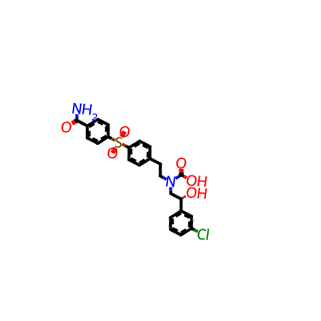 NC(=O)c1ccc(S(=O)(=O)c2ccc(CCN(C[C@@H](O)c3cccc(Cl)c3)C(=O)O)cc2)cc1